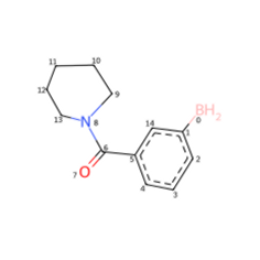 Bc1cccc(C(=O)N2CCCCC2)c1